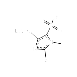 CCOC(=O)c1nc(Br)n(C)c1S(=O)(=O)CC